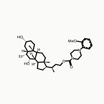 CC[C@H]1[C@@H](O)[C@@H]2[C@H](CC[C@]3(C)[C@@H]([C@H](C)CCOC(=O)N4CCN(c5ccccc5OC)CC4)CC[C@@H]23)[C@@]2(C)CC[C@@H](O)C[C@@H]12